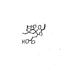 C=CC(=O)OC(CCC(=O)O)C(C)(CCCC)C(=O)O